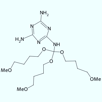 COCCCCOC(Nc1nc(N)nc(N)n1)(OCCCCOC)OCCCCOC